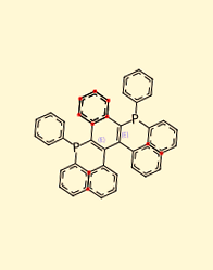 c1ccc(C(/C(=C(\c2ccccc2)P(c2ccccc2)c2ccccc2)c2ccccc2)=C(/c2ccccc2)P(c2ccccc2)c2ccccc2)cc1